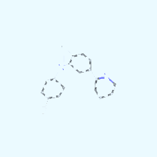 Cc1ccc(-c2ccccn2)cc1Nc1ccc(Br)cc1